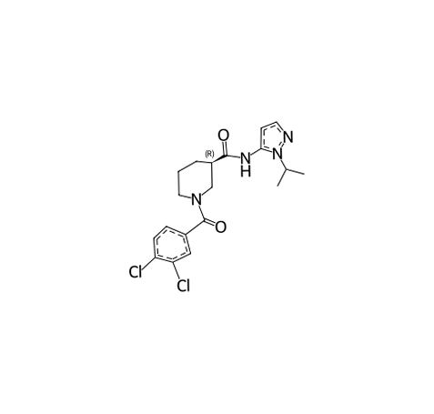 CC(C)n1nccc1NC(=O)[C@@H]1CCCN(C(=O)c2ccc(Cl)c(Cl)c2)C1